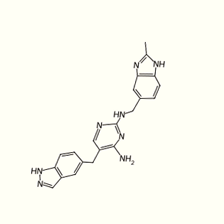 Cc1nc2cc(CNc3ncc(Cc4ccc5[nH]ncc5c4)c(N)n3)ccc2[nH]1